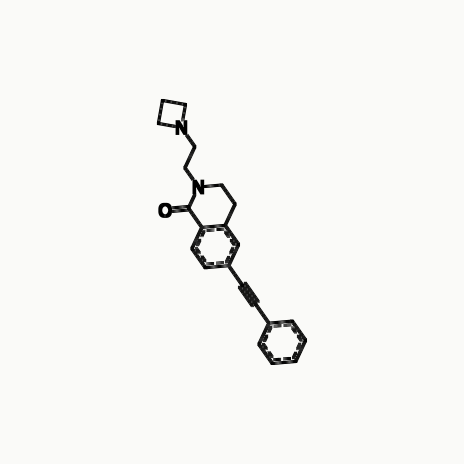 O=C1c2ccc(C#Cc3ccccc3)cc2CCN1CCN1CCC1